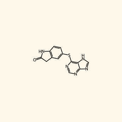 O=C1Cc2cc(Sc3ncnc4nc[nH]c34)ccc2N1